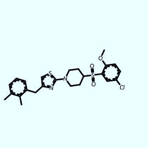 COc1ccc(Cl)cc1S(=O)(=O)C1CCN(c2nc(Cc3cccc(C)c3C)cs2)CC1